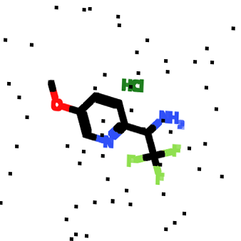 COc1ccc(C(N)C(F)(F)F)nc1.Cl